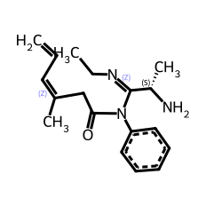 C=C/C=C(/C)CC(=O)N(/C(=N\CC)[C@H](C)N)c1ccccc1